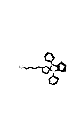 CCCCCN1CCC(P(c2ccccc2)c2ccccc2)(P(c2ccccc2)c2ccccc2)C1